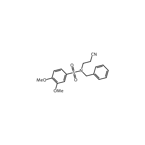 COc1ccc(S(=O)(=O)N(CCC#N)Cc2ccccc2)cc1OC